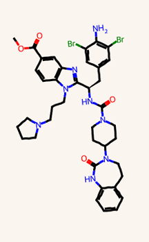 COC(=O)c1ccc2c(c1)nc([C@@H](Cc1cc(Br)c(N)c(Br)c1)NC(=O)N1CCC(N3CCc4ccccc4NC3=O)CC1)n2CCCN1CCCC1